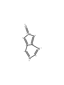 O=[N+]1C=c2cncnc2=C1